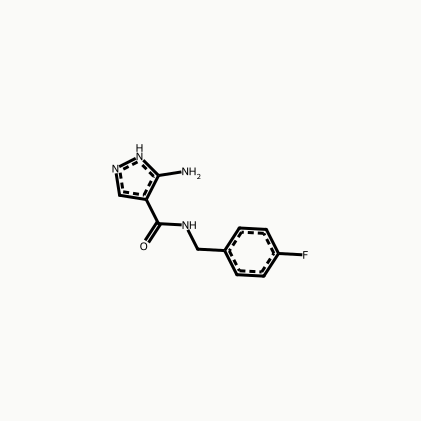 Nc1[nH]ncc1C(=O)NCc1ccc(F)cc1